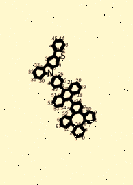 c1ccc2c(c1)-c1ccccc1-c1ccc(-c3c4ccccc4c(-c4ccc(-n5c6ccccc6c6cc7c(cc65)sc5ccccc57)cc4)c4ccccc34)cc1-c1ccccc1-2